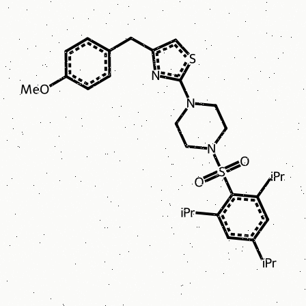 COc1ccc(Cc2csc(N3CCN(S(=O)(=O)c4c(C(C)C)cc(C(C)C)cc4C(C)C)CC3)n2)cc1